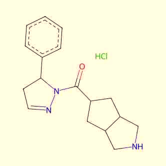 Cl.O=C(C1CC2CNCC2C1)N1N=CCC1c1ccccc1